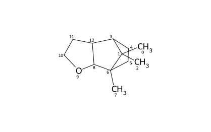 CC1(C)C2CCC1(C)C1OCCC21